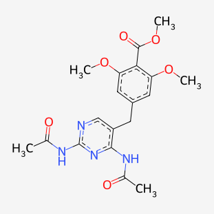 COC(=O)c1c(OC)cc(Cc2cnc(NC(C)=O)nc2NC(C)=O)cc1OC